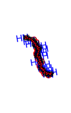 Cn1cc(NC(=O)c2nc(NC(=O)CCNC(=O)c3cc(NC(=O)c4nccn4C)cn3C)cn2C)cc1C(=O)NCCCC(=O)Nc1cn(C)c(C(=O)NCCC(=O)Nc2cc(C(=O)Nc3cn(C)c(C(=O)NCCC(=O)NCC#CC#CC4CCNCC4)n3)n(C)c2)n1